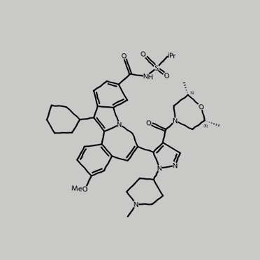 COc1ccc2c(c1)C=C(c1c(C(=O)N3C[C@@H](C)O[C@@H](C)C3)cnn1C1CCN(C)CC1)Cn1c-2c(C2CCCCC2)c2ccc(C(=O)NS(=O)(=O)C(C)C)cc21